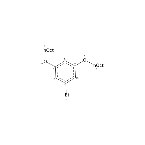 [CH2]Cc1cc(OCCCCCCCC)cc(OCCCCCCCC)c1